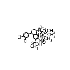 COC(=O)c1cc2c(cc1NS(C)(=O)=O)C(N(C)C(=O)OC(C)(C)C)CCC2c1ccc(Cl)c(Cl)c1